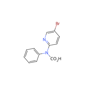 O=C(O)N(c1ccccc1)c1ccc(Br)cn1